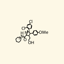 COc1ccc(C2C(CCO)C(C(=O)NN3CCCCC3)=NN2c2ccc(Cl)cc2Cl)cc1